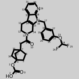 O=C(O)OC12CCC(CC(=O)N3CCc4c(n(Cc5cccc(OC(F)F)c5)c5ncccc45)C3)(CC1)C2